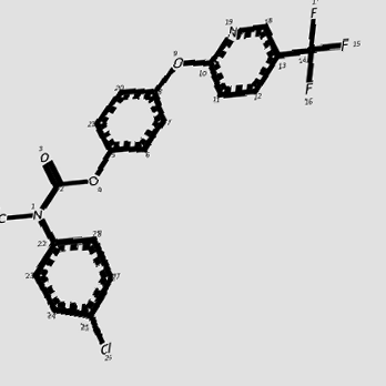 CN(C(=O)Oc1ccc(Oc2ccc(C(F)(F)F)cn2)cc1)c1ccc(Cl)cc1